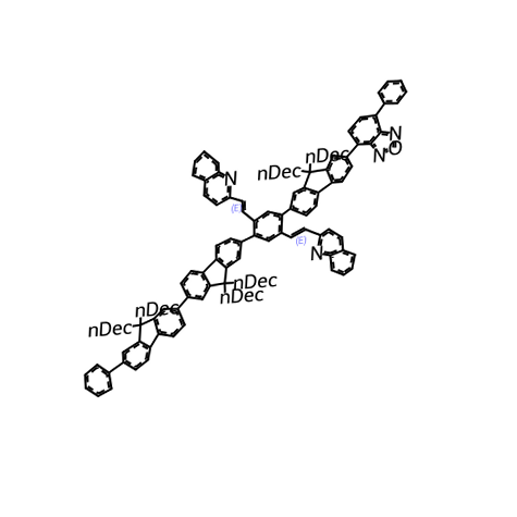 CCCCCCCCCCC1(CCCCCCCCCC)c2cc(-c3ccccc3)ccc2-c2ccc(-c3ccc4c(c3)C(CCCCCCCCCC)(CCCCCCCCCC)c3cc(-c5cc(/C=C/c6ccc7ccccc7n6)c(-c6ccc7c(c6)C(CCCCCCCCCC)(CCCCCCCCCC)c6cc(-c8ccc(-c9ccccc9)c9nonc89)ccc6-7)cc5/C=C/c5ccc6ccccc6n5)ccc3-4)cc21